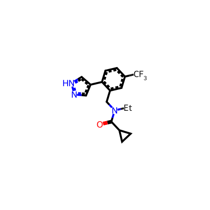 CCN(Cc1cc(C(F)(F)F)ccc1-c1cn[nH]c1)C(=O)C1CC1